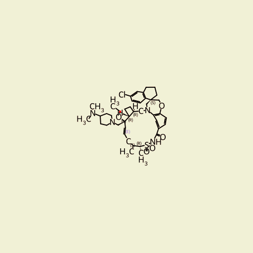 CCO[C@@]1(CN2CCC(N(C)C)CC2)/C=C/C[C@H](C)[C@@H](C)S(=O)(=O)NC(=O)c2ccc3c(c2)N(C[C@@H]2CC[C@H]21)C[C@@]1(CCCc2cc(Cl)ccc21)CO3